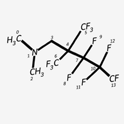 CN(C)CC(C(F)(F)F)(C(F)(F)F)C(F)(F)C(F)(F)C(F)(F)F